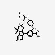 CN(C)CC(=O)N[C@H]1CC[C@H](Nc2cc(-c3c4n(c5cc(F)ccc35)S(=O)(=O)CC(C)(C)C4)ccc2C(N)=O)CC1